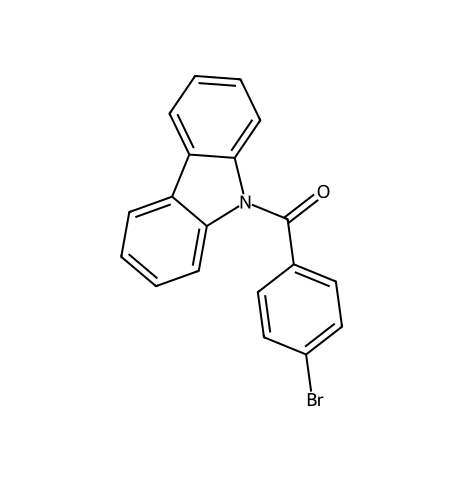 O=C(c1ccc(Br)cc1)n1c2ccccc2c2ccccc21